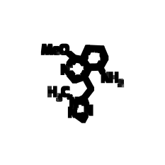 COc1ncc(Cc2ncnn2C)c2c(N)cccc12